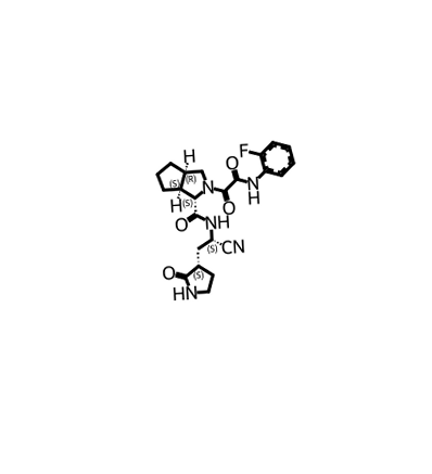 N#C[C@H](C[C@@H]1CCNC1=O)NC(=O)[C@@H]1[C@H]2CCC[C@H]2CN1C(=O)C(=O)Nc1ccccc1F